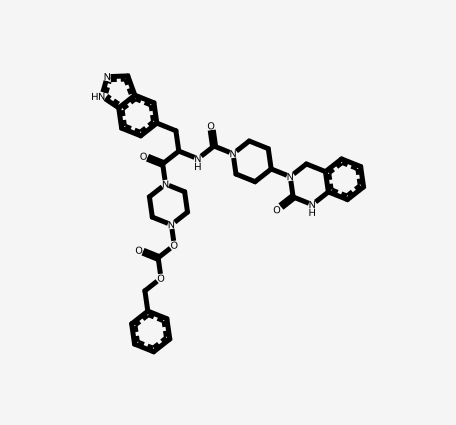 O=C(OCc1ccccc1)ON1CCN(C(=O)C(Cc2ccc3[nH]ncc3c2)NC(=O)N2CCC(N3Cc4ccccc4NC3=O)CC2)CC1